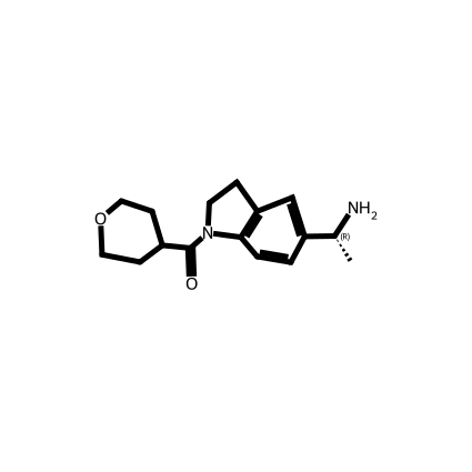 C[C@@H](N)c1ccc2c(c1)CCN2C(=O)C1CCOCC1